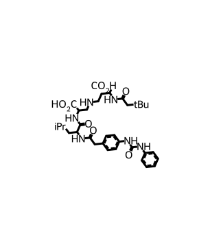 CC(C)CC(NC(=O)Cc1ccc(NC(=O)Nc2ccccc2)cc1)C(=O)NC(CNCCC(NC(=O)CC(C)(C)C)C(=O)O)C(=O)O